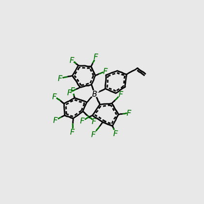 C=Cc1ccc([B-](c2c(F)c(F)c(F)c(F)c2F)(c2c(F)c(F)c(F)c(F)c2F)c2c(F)c(F)c(F)c(F)c2F)cc1